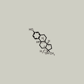 C[C@]1(O)CC[C@H]2[C@@H]3CCc4cc(O)ccc4[C@H]3CC[C@@]21C